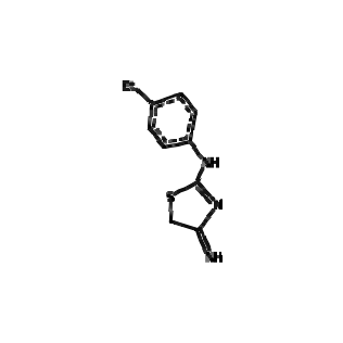 CCc1ccc(NC2=NC(=N)CS2)cc1